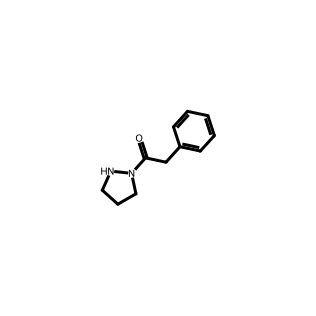 O=C(Cc1ccccc1)N1CCCN1